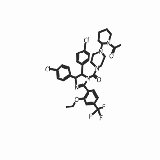 CCOc1cc(C(F)(F)F)ccc1C1=NC(c2ccc(Cl)cc2)C(c2ccc(Cl)cc2)N1C(=O)N1CCN(C2CCCCN2C(C)=O)CC1